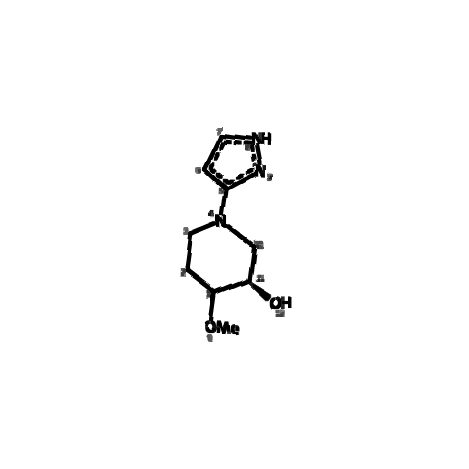 COC1CCN(c2cc[nH]n2)C[C@H]1O